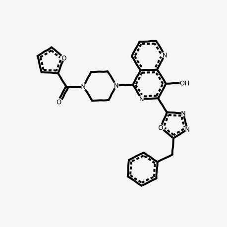 O=C(c1ccco1)N1CCN(c2nc(-c3nnc(Cc4ccccc4)o3)c(O)c3ncccc23)CC1